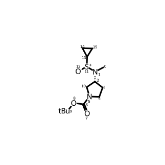 CN([C@@H]1CCN(C(=O)OC(C)(C)C)C1)[S+]([O-])C1CC1